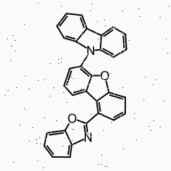 c1ccc2oc(-c3cccc4oc5c(-n6c7ccccc7c7ccccc76)cccc5c34)nc2c1